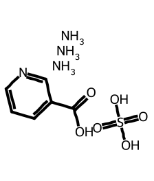 N.N.N.O=C(O)c1cccnc1.O=S(=O)(O)O